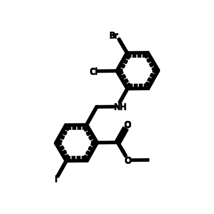 COC(=O)c1cc(I)ccc1CNc1cccc(Br)c1Cl